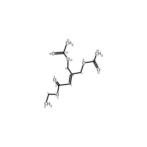 CCOC(=O)C=C(COC(C)=O)COC(C)=O